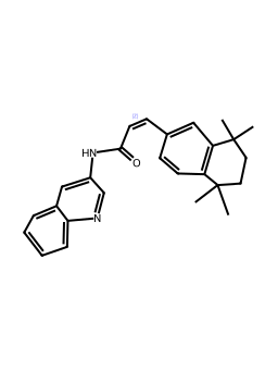 CC1(C)CCC(C)(C)c2cc(/C=C\C(=O)Nc3cnc4ccccc4c3)ccc21